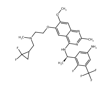 COc1cc2nc(C)nc(N[C@H](C)c3cc(N)cc(C(F)(F)F)c3F)c2cc1OCCN(C)CC1CC1(F)F